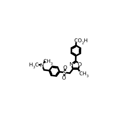 Cc1oc(-c2ccc(C(=O)O)cc2)nc1CS(=O)(=O)c1ccc(CN(C)C)cc1